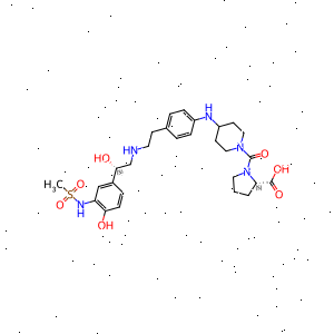 CS(=O)(=O)Nc1cc([C@H](O)CNCCc2ccc(NC3CCN(C(=O)N4CCC[C@H]4C(=O)O)CC3)cc2)ccc1O